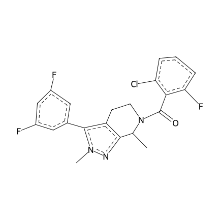 CC1c2nn(C)c(-c3cc(F)cc(F)c3)c2CCN1C(=O)c1c(F)cccc1Cl